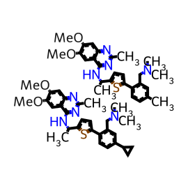 COc1cc2nc(C)nc(NC(C)c3ccc(-c4ccc(C)cc4CN(C)C)s3)c2cc1OC.COc1cc2nc(C)nc(NC(C)c3ccc(-c4ccc(C5CC5)cc4CN(C)C)s3)c2cc1OC